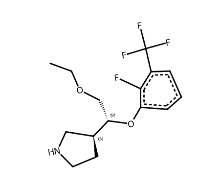 CCOC[C@H](Oc1cccc(C(F)(F)F)c1F)[C@H]1CCNC1